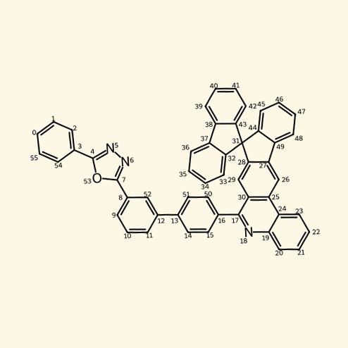 c1ccc(-c2nnc(-c3cccc(-c4ccc(-c5nc6ccccc6c6cc7c(cc56)C5(c6ccccc6-c6ccccc65)c5ccccc5-7)cc4)c3)o2)cc1